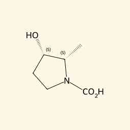 C[C@H]1[C@@H](O)CCN1C(=O)O